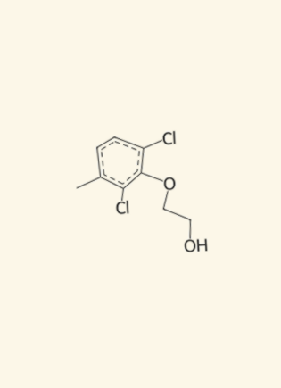 Cc1ccc(Cl)c(OCCO)c1Cl